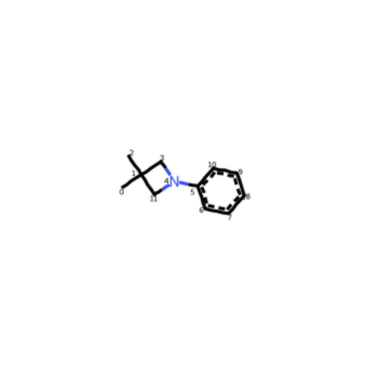 CC1(C)CN(c2cc[c]cc2)C1